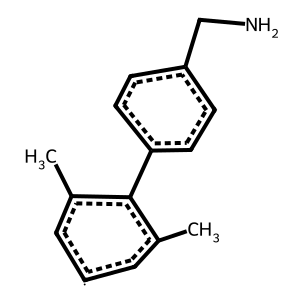 Cc1c[c]cc(C)c1-c1ccc(CN)cc1